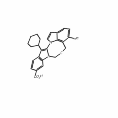 CCCc1ccc2ccn3c2c1CCCn1c-3c(C2CCCCC2)c2ccc(C(=O)O)cc21